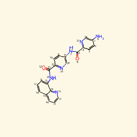 Nc1ccc(C(=O)Nc2ccc(C(=O)Nc3cccc4cccnc34)nc2)nc1